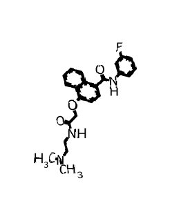 CN(C)CCNC(=O)COc1ccc(C(=O)Nc2cccc(F)c2)c2ccccc12